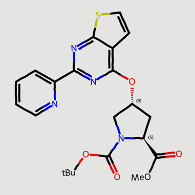 COC(=O)[C@@H]1C[C@@H](Oc2nc(-c3ccccn3)nc3sccc23)CN1C(=O)OC(C)(C)C